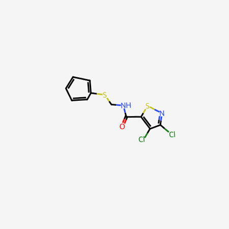 O=C(NCSc1ccccc1)c1snc(Cl)c1Cl